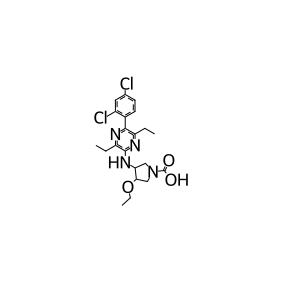 CCOC1CN(C(=O)O)CC1Nc1nc(CC)c(-c2ccc(Cl)cc2Cl)nc1CC